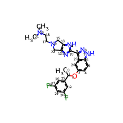 CC(Oc1ccc2[nH]nc(-c3nc4c([nH]3)CN(CCN(C)C)C4)c2c1)c1cc(F)cc(F)c1